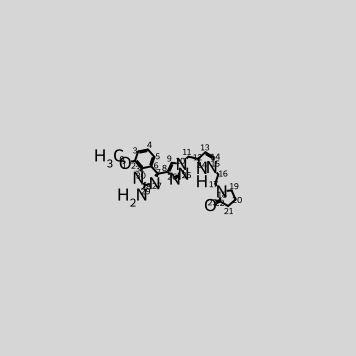 COc1cccc2c(-c3cn(CC4C=CN(CCN5CCCC5=O)N4)nn3)nc(N)nc12